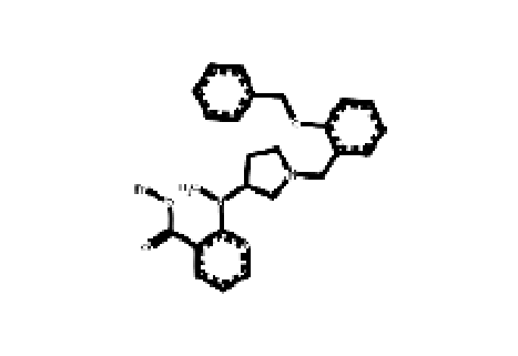 CC(C)OC(=O)c1cccnc1N(C)C1CCN(Cc2ccccc2OCc2ccccc2)C1